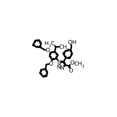 COC(=O)c1nnn(-c2cc(C(C)C)c(OCc3ccccc3)cc2OCc2ccccc2)c1-c1ccc(CO)cc1